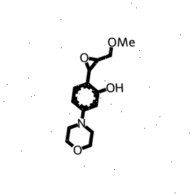 COCC1OC1c1ccc(N2CCOCC2)cc1O